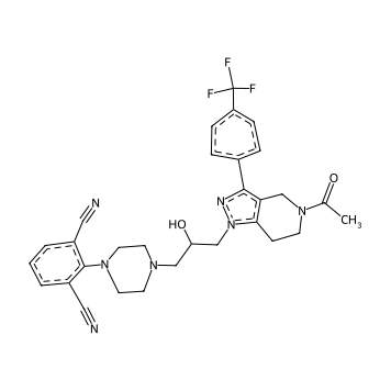 CC(=O)N1CCc2c(c(-c3ccc(C(F)(F)F)cc3)nn2CC(O)CN2CCN(c3c(C#N)cccc3C#N)CC2)C1